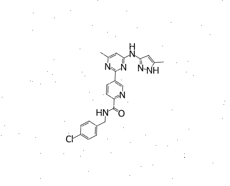 Cc1cc(Nc2cc(C)[nH]n2)nc(-c2ccc(C(=O)NCc3ccc(Cl)cc3)nc2)n1